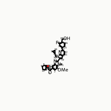 COc1cc(C(=O)N2CC3CCC2[C@@H]3N)cc2nc(-c3cc4ccc(-c5ccc(CO)c(F)c5)nc4n3CC3CC3)n(C)c12